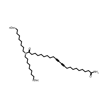 CCCCCCCCCCCCCCCCCCN(CCCCCCCCCCCCCCCCCC)C(=O)CCCCCCCCC#CC#CCCCCCCCCC(N)=O